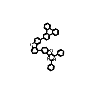 c1ccc(-c2nc(-c3ccccc3)c3oc4ccc(-c5cccc6oc7ccc(-c8ccc9c%10ccccc%10c%10ccccc%10c9c8)cc7c56)cc4c3n2)cc1